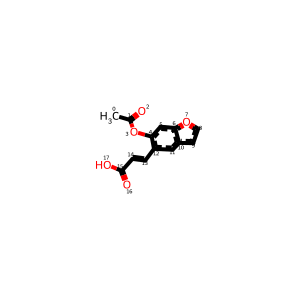 CC(=O)Oc1cc2occc2cc1C=CC(=O)O